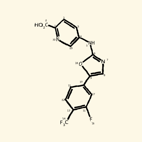 O=C(O)c1ccc(Nc2ncc(-c3ccc(C(F)(F)F)c(F)c3)o2)cn1